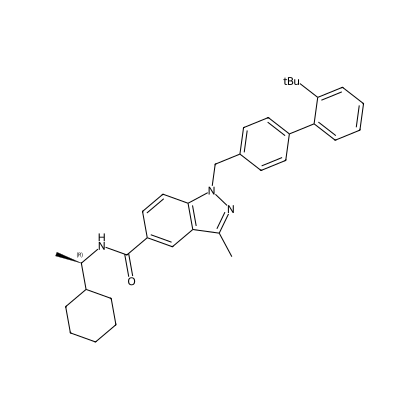 Cc1nn(Cc2ccc(-c3ccccc3C(C)(C)C)cc2)c2ccc(C(=O)N[C@H](C)C3CCCCC3)cc12